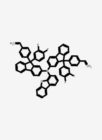 C=Cc1ccc(C2(c3ccc(F)c(F)c3)c3ccccc3-c3ccc(N(c4ccc5c(c4)C(c4ccc(C=C)cc4)(c4ccc(F)c(F)c4)c4ccccc4-5)c4cccc5c4oc4ccccc45)cc32)cc1